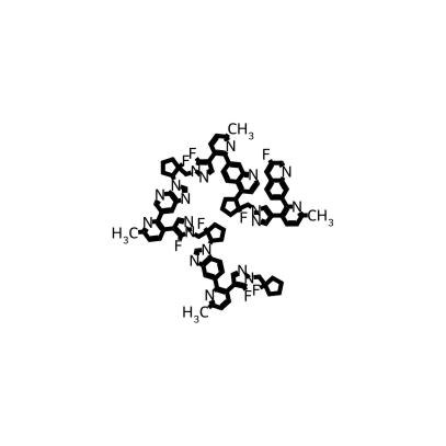 Cc1ccc(-c2cnn(CC3(F)CCCC3c3ccnc4cc(-c5nc(C)ccc5-c5cnn(CC6(F)CCCC6n6cnc7cc(-c8nc(C)ccc8-c8cnn(CC9(F)CCCC9n9cnc%10cc(-c%11nc(C)ccc%11-c%11cnn(CC%12(F)CCCC%12)c%11F)ccc%109)c8F)cnc76)c5F)ccc34)c2)c(-c2ccc3cc(F)cnc3c2)n1